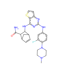 CN1CCN(c2ccc(Nc3nc(NC4C5C=CC(C5)C4C(N)=O)c4sccc4n3)cc2F)CC1